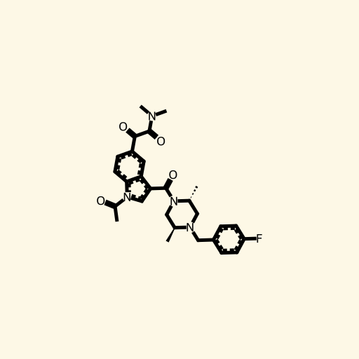 CC(=O)n1cc(C(=O)N2C[C@H](C)N(Cc3ccc(F)cc3)C[C@H]2C)c2cc(C(=O)C(=O)N(C)C)ccc21